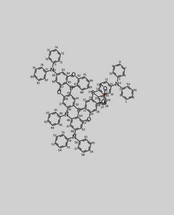 c1ccc(N(c2ccccc2)c2cc3c4c(c2)Oc2cc5c(cc2B4c2ccccc2O3)B2c3cc4c(cc3N(c3ccccc3)c3cc(N(c6ccccc6)c6ccccc6)cc(c32)O5)Oc2cc(N(c3ccccc3)c3ccccc3)cc3c2B4c2ccccc2O3)cc1